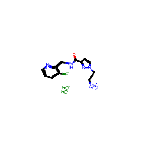 Cl.Cl.NCCn1ccc(C(=O)NCc2ncccc2F)n1